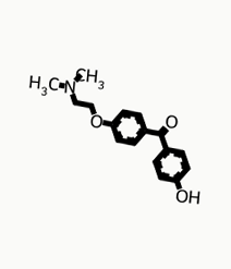 CN(C)CCOc1ccc(C(=O)c2ccc(O)cc2)cc1